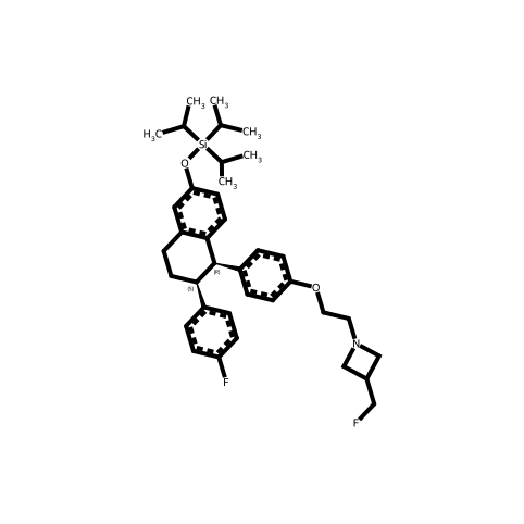 CC(C)[Si](Oc1ccc2c(c1)CC[C@H](c1ccc(F)cc1)[C@@H]2c1ccc(OCCN2CC(CF)C2)cc1)(C(C)C)C(C)C